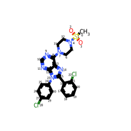 CS(=O)(=O)N1CCN(c2ncnc3c2nc(-c2ccccc2Cl)n3-c2ccc(Cl)cc2)CC1